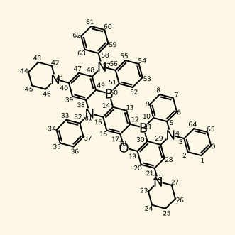 c1ccc(N2c3ccccc3B3c4cc5c(cc4Oc4cc(N6CCCCC6)cc2c43)N(c2ccccc2)c2cc(N3CCCCC3)cc3c2B5c2ccccc2N3c2ccccc2)cc1